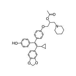 CC(=O)OC(COc1ccc(/C(=C(/c2ccc3c(c2)OCO3)C2CC2)c2ccc(O)cc2)cc1)CN1CCCCC1